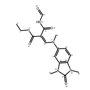 CCOC(=O)/C(=C/N(C)c1ccc2c(c1)n(C)c(=O)n2C)C(=O)NC=O